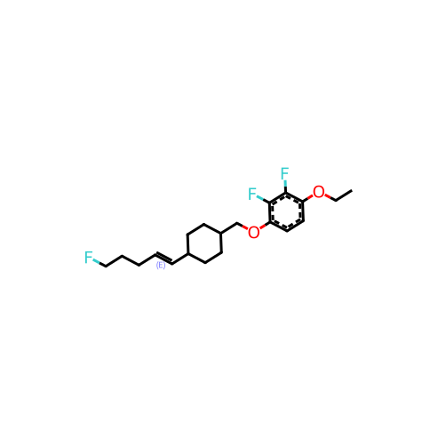 CCOc1ccc(OCC2CCC(/C=C/CCCF)CC2)c(F)c1F